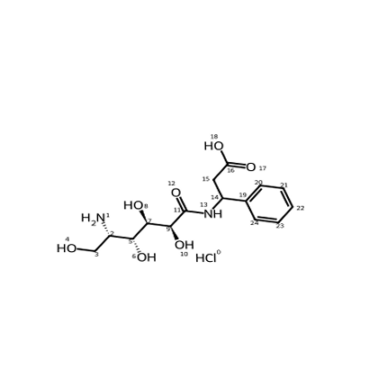 Cl.N[C@@H](CO)[C@@H](O)[C@@H](O)[C@H](O)C(=O)NC(CC(=O)O)c1ccccc1